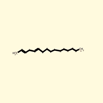 [CH2]C=CCC=CCCCCCCCCCC